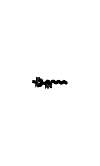 CCCCCCn1cc(-c2cnc(C)nc2)nn1